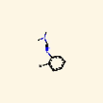 CN(C)/C=N/c1ccccc1C#N